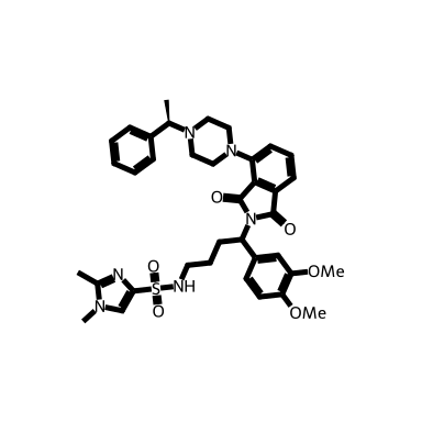 COc1ccc(C(CCCNS(=O)(=O)c2cn(C)c(C)n2)N2C(=O)c3cccc(N4CCN([C@H](C)c5ccccc5)CC4)c3C2=O)cc1OC